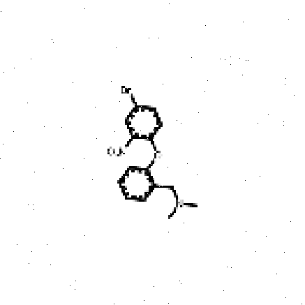 CN(C)Cc1ccccc1Oc1ccc(Br)cc1[N+](=O)[O-]